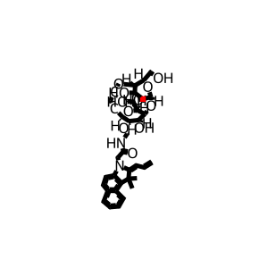 C=C/C=C1/N(CC(=O)NCO[C@H]2[C@H]3CCCO[C@H]4[C@H](O)[C@@H](O)[C@@H](OC([C@@H](CO)O3)[C@@H]2O)O[C@@H]4CO)c2ccc3ccccc3c2C1(C)C